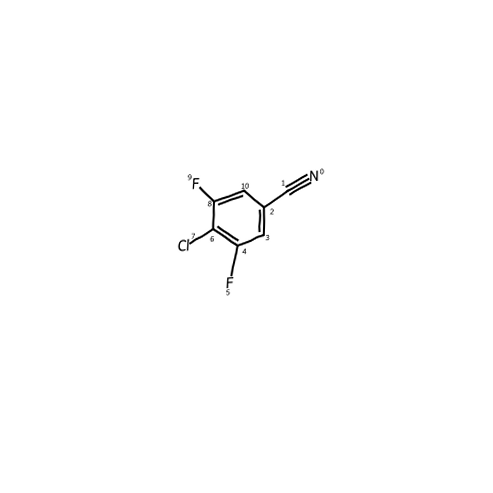 N#Cc1cc(F)c(Cl)c(F)c1